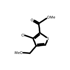 COCc1csc(C(=O)OC)c1Cl